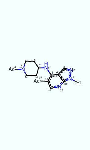 CCn1ncc2c(NC3CCN(C(C)=O)CC3)c(C(C)=O)cnc21